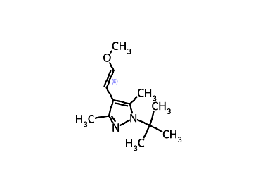 CO/C=C/c1c(C)nn(C(C)(C)C)c1C